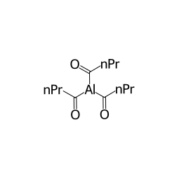 CCC[C](=O)[Al]([C](=O)CCC)[C](=O)CCC